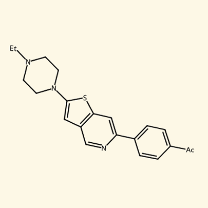 CCN1CCN(c2cc3cnc(-c4ccc(C(C)=O)cc4)cc3s2)CC1